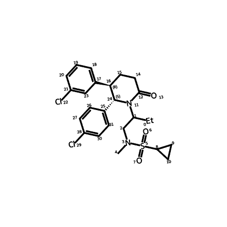 CCC(CN(C)S(=O)(=O)C1CC1)N1C(=O)CC[C@H](c2cccc(Cl)c2)[C@H]1c1ccc(Cl)cc1